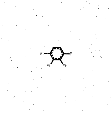 CCc1[c]cc(F)c(CC)c1CC